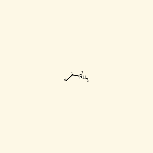 C[CH2][Ru][CH3]